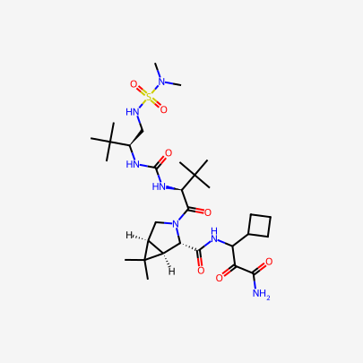 CN(C)S(=O)(=O)NC[C@@H](NC(=O)N[C@H](C(=O)N1C[C@H]2[C@@H]([C@H]1C(=O)NC(C(=O)C(N)=O)C1CCC1)C2(C)C)C(C)(C)C)C(C)(C)C